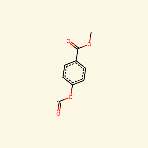 COC(=O)c1ccc(O[C]=O)cc1